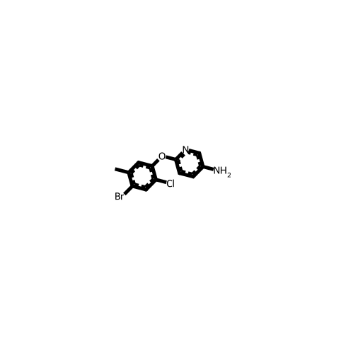 Cc1cc(Oc2ccc(N)cn2)c(Cl)cc1Br